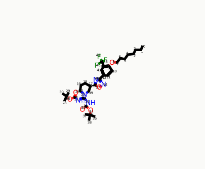 CCCCCCCCOc1ccc(-c2noc([C@@H]3CCCN(/C(=N\C(=O)OC(C)(C)C)NC(=O)OC(C)(C)C)C3)n2)cc1C(F)(F)F